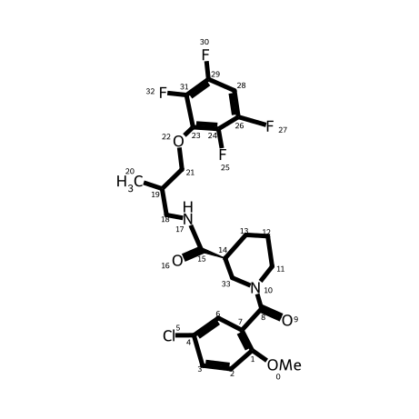 COc1ccc(Cl)cc1C(=O)N1CCC[C@H](C(=O)NCC(C)COc2c(F)c(F)cc(F)c2F)C1